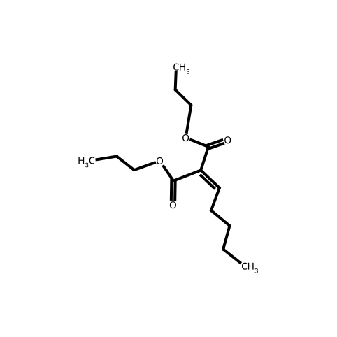 CCCCC=C(C(=O)OCCC)C(=O)OCCC